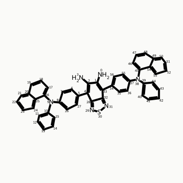 Nc1c(N)c(-c2ccc(N(c3ccccc3)c3cccc4ccccc34)cc2)c2nsnc2c1-c1ccc(N(c2ccccc2)c2cccc3ccccc23)cc1